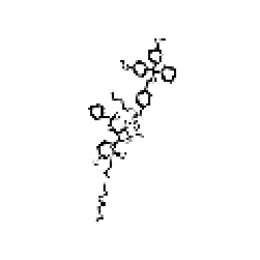 CCCCOP(=O)(Oc1ccc(COC(c2ccccc2)(c2ccc(OC)cc2)c2ccc(OC)cc2)cc1)O[C@@H]1C(OC(=O)c2ccccc2)[C@H](n2ccc(=O)n(CCOCCOCCOC)c2=O)O[C@@H]1CC